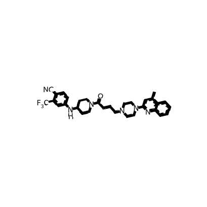 Cc1cc(N2CCN(CCCC(=O)N3CCC(Nc4ccc(C#N)c(C(F)(F)F)c4)CC3)CC2)nc2ccccc12